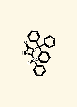 O=C1NC(S(=O)(=O)c2ccccc2)[C@@H]1C(c1ccccc1)(c1ccccc1)c1ccccc1